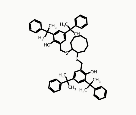 CC(C)(c1ccccc1)c1cc(CSC2CCCCCCC2SCc2cc(C(C)(C)c3ccccc3)cc(C(C)(C)c3ccccc3)c2O)c(O)c(C(C)(C)c2ccccc2)c1